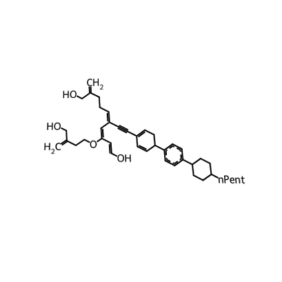 C=C(CO)CC\C=C(C#CC1=CCC(c2ccc(C3CCC(CCCCC)CC3)cc2)C=C1)/C=C(\C=C\O)OCCC(=C)CO